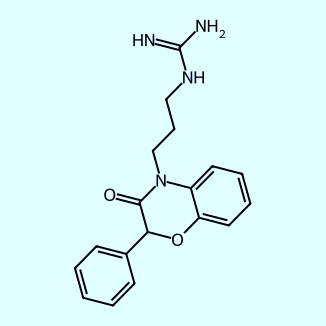 N=C(N)NCCCN1C(=O)C(c2ccccc2)Oc2ccccc21